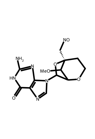 COC1C2OCC[C@]1(CN=O)OC2n1cnc2c(=O)[nH]c(N)nc21